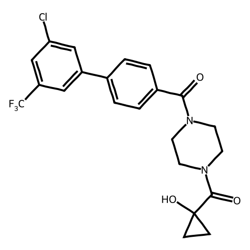 O=C(c1ccc(-c2cc(Cl)cc(C(F)(F)F)c2)cc1)N1CCN(C(=O)C2(O)CC2)CC1